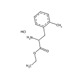 CCOC(=O)C(N)Cc1ccccc1C.Cl